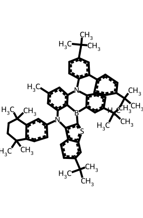 Cc1cc2c3c(c1)N(c1ccc4c(c1)C(C)(C)CCC4(C)C)c1c(sc4cc(C(C)(C)C)ccc14)B3c1cc(C(C)(C)C)ccc1N2c1ccc(C(C)(C)C)cc1-c1ccc(C(C)(C)C)cc1